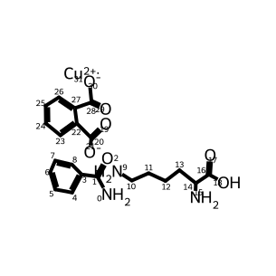 NC(=O)c1ccccc1.NCCCCC(N)C(=O)O.O=C([O-])c1ccccc1C(=O)[O-].[Cu+2]